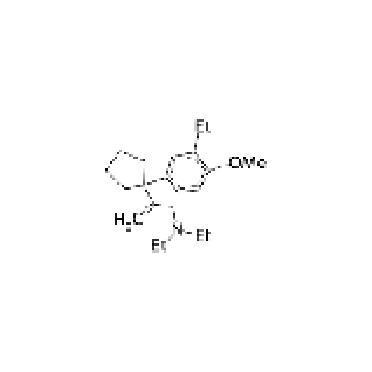 C=C(CN(CC)CC)C1(c2ccc(OC)c(CC)c2)CCCC1